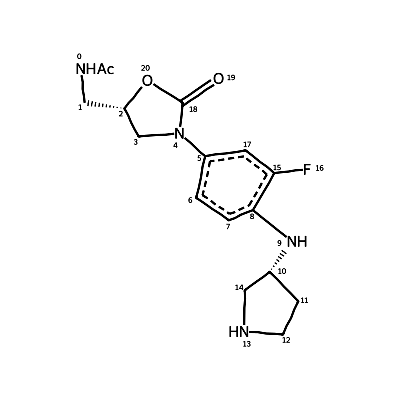 CC(=O)NC[C@H]1CN(c2ccc(N[C@@H]3CCNC3)c(F)c2)C(=O)O1